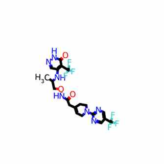 CC(CONC(=O)CC1=CCN(c2ncc(C(F)(F)F)cn2)CC1)Nc1cn[nH]c(=O)c1C(F)(F)F